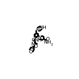 NC(=O)C1CCN(c2cc(CN3CCNCC3)ccc2NC(=O)c2coc(N3CCOCC3)n2)CC1